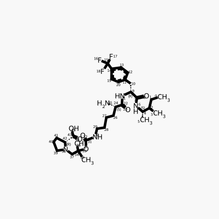 CCC(C)[C@H](C)NC(=O)[C@@H](Cc1ccc(C(F)(F)F)cc1)NC(=O)[C@@H](N)CCCCNC(=O)OC(C)(C)CN1CCC[C@@H]1C(=O)O